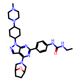 CCNC(=O)Nc1ccc(-c2nc(N3CC4CCC(C3)O4)c3cnn(C4CCC(N5CCN(C)CC5)CC4)c3n2)cc1